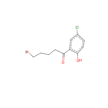 O=C(CCCCBr)c1cc(Cl)ccc1O